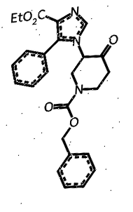 CCOC(=O)c1ncn(C2CN(C(=O)OCc3ccccc3)CCC2=O)c1-c1ccccc1